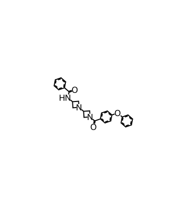 O=C(NC1CN(C2CN(C(=O)c3ccc(Oc4ccccc4)cc3)C2)C1)c1ccccc1